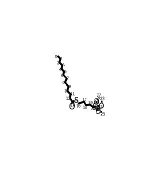 CCCCCCCCCCCCCC(=O)SCCCCC[Si](OC)(OC)OC